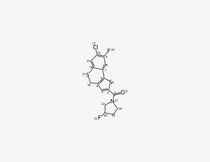 O=C(c1cc2c(s1)-c1cc(F)c(Cl)cc1SC2)N1CCC(F)C1